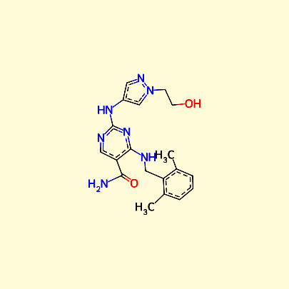 Cc1cccc(C)c1CNc1nc(Nc2cnn(CCO)c2)ncc1C(N)=O